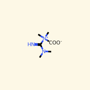 CN(C)C(=N)[N+](C)(C)C(=O)[O-]